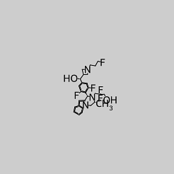 C[C@@H]1Cn2c(cc3ccccc32)[C@@H](c2c(F)cc([C@@H](O)C3CN(CCCF)C3)cc2F)N1CC(F)(F)CO